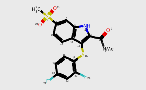 CNC(=O)c1[nH]c2cc(S(C)(=O)=O)ccc2c1Sc1ccc(F)cc1F